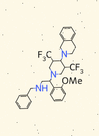 COc1ccccc1C(CNCc1ccccc1)N1CC(C(F)(F)F)C(N2CCc3ccccc3C2)C(C(F)(F)F)C1